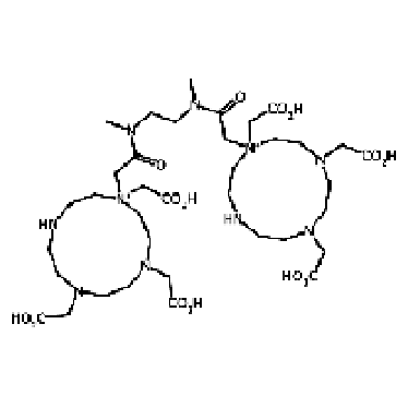 CN(CCN(C)C(=O)C[N+]1(CC(=O)O)CCNCCN(CC(=O)O)CCN(CC(=O)O)CC1)C(=O)C[N+]1(CC(=O)O)CCNCCN(CC(=O)O)CCN(CC(=O)O)CC1